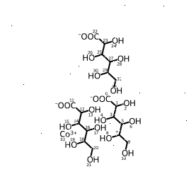 O=C([O-])C(O)C(O)C(O)C(O)CO.O=C([O-])C(O)C(O)C(O)C(O)CO.O=C([O-])C(O)C(O)C(O)C(O)CO.[Co+3]